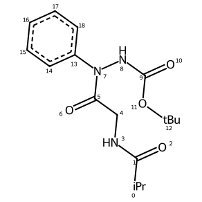 CC(C)C(=O)NCC(=O)N(NC(=O)OC(C)(C)C)c1ccccc1